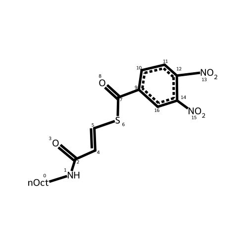 CCCCCCCCNC(=O)C=CSC(=O)c1ccc([N+](=O)[O-])c([N+](=O)[O-])c1